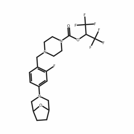 O=C(OC(C(F)(F)F)C(F)(F)F)N1CCN(Cc2ccc(N3CC4CCC(C3)O4)cc2F)CC1